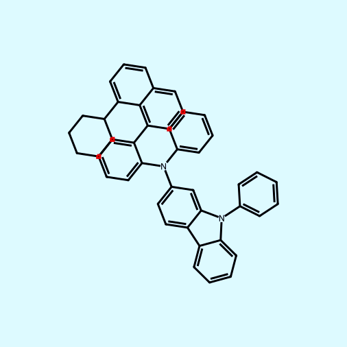 c1ccc(N(c2ccc3c4ccccc4n(-c4ccccc4)c3c2)c2ccccc2-c2cccc3cccc(C4CCCCC4)c23)cc1